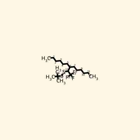 CCCCCCC(CCCCCC)C(SSC(C)(C)C)C(F)(F)F